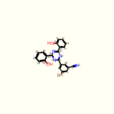 N#Cc1cc(Br)cc(-c2nc(-c3ccccc3O)nc(-c3ccccc3O)n2)c1